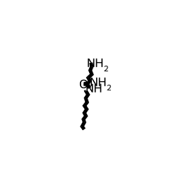 CCCCCCCCCCCCNC(=O)[C@@H](N)CCCCN